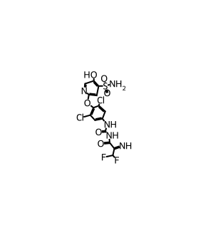 N=C(C(=O)NC(=O)Nc1cc(Cl)c(Oc2cc(S(N)(=O)=O)c(O)cn2)c(Cl)c1)C(F)F